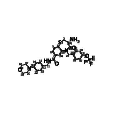 N[C@H]1CSc2ccc(C(=O)NCc3ccc(N4CCOCC4)cc3)cc2N(Cc2ccc(OC(F)(F)F)cc2)C1=O